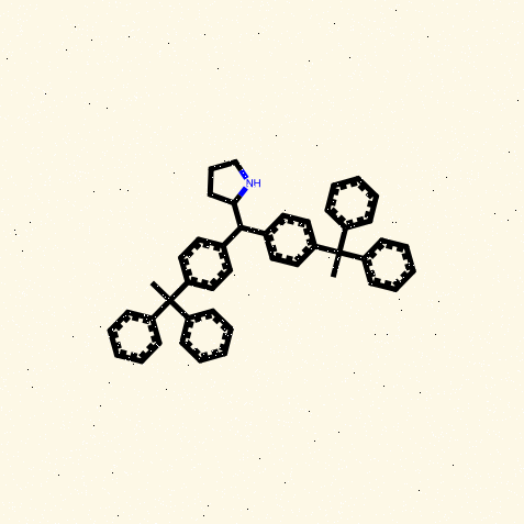 CC(c1ccccc1)(c1ccccc1)c1ccc(C(c2ccc(C(C)(c3ccccc3)c3ccccc3)cc2)C2CCCN2)cc1